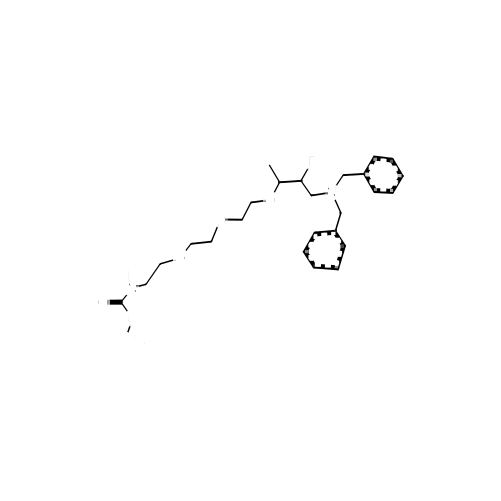 CC(OCCOCCOCCNC(=O)OC(C)(C)C)C(F)CN(Cc1ccccc1)Cc1ccccc1